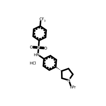 CCCN1CC[C@@H](c2ccc(NS(=O)(=O)c3ccc(C(F)(F)F)cc3)cc2)C1.Cl